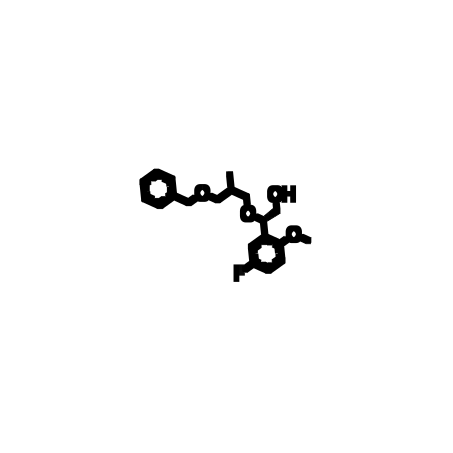 COc1ccc(F)cc1[C@H](CO)OCC(C)COCc1ccccc1